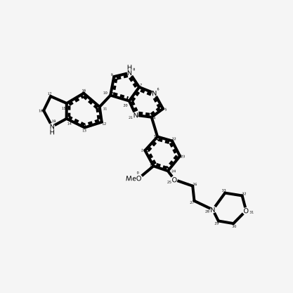 COc1cc(-c2cnc3[nH]cc(-c4ccc5c(c4)CCN5)c3n2)ccc1OCCN1CCOCC1